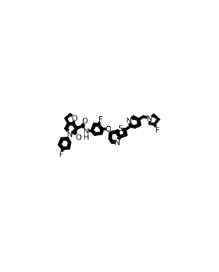 O=C(Nc1ccc(Oc2ccnc3cc(-c4ccc(CN5CCC(F)C5)cn4)sc23)c(F)c1)c1c2c(cn(-c3ccc(F)cc3)c1=O)CCO2